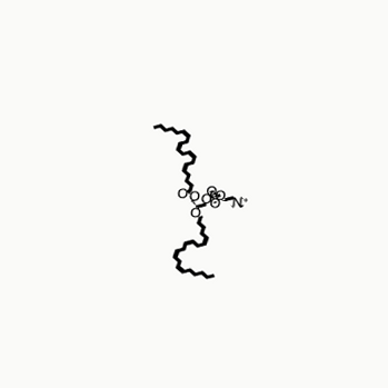 CCCCC/C=C\C/C=C\C/C=C\C/C=C\CCCCO[C@H](COC(=O)CCC/C=C\C/C=C\C/C=C\C/C=C\CCCCC)COP(=O)([O-])OCC[N+](C)(C)C